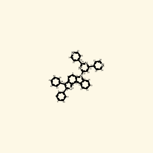 c1ccc(-c2oc3c(ccc4c3c3ccccc3n4-c3cc(-c4ccncc4)nc(-c4ccncc4)n3)c2-c2ccccc2)cc1